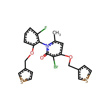 Cc1cc(OCc2ccsc2)c(Br)c(=O)n1-c1c(F)cccc1OCc1ccsc1